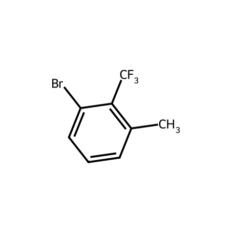 Cc1cccc(Br)c1C(F)(F)F